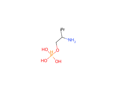 CC(C)C(N)CO[PH](O)(O)O